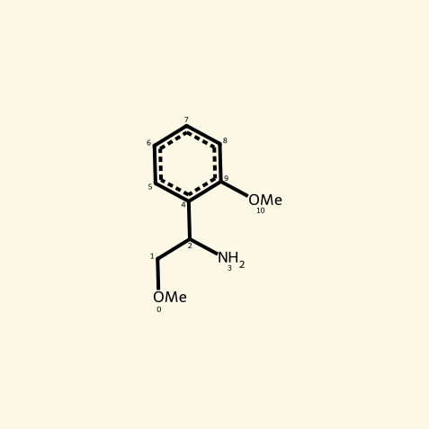 COCC(N)c1ccccc1OC